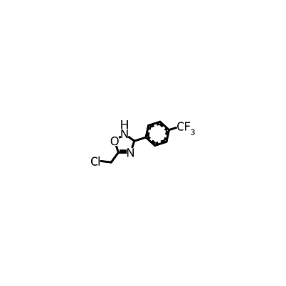 FC(F)(F)c1ccc(C2N=C(CCl)ON2)cc1